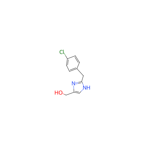 OCc1c[nH]c(Cc2ccc(Cl)cc2)n1